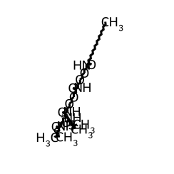 CCCCCCCCCCCCCCCCCC(=O)NCCOCCOCCNC(=O)CCOCCOCCNC(=O)[C@H](CCCNC(=O)CSC(C)C)NC(=O)CSC(C)C